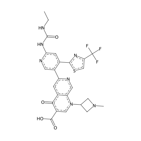 CCNC(=O)Nc1cc(-c2nc(C(F)(F)F)cs2)c(-c2cc3c(=O)c(C(=O)O)cn(C4CN(C)C4)c3cn2)cn1